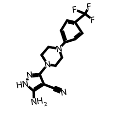 N#Cc1c(N2CCN(c3ccc(C(F)(F)F)cc3)CC2)n[nH]c1N